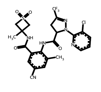 Cc1cc(C#N)cc(C(=O)NC2(C)CS(=O)(=O)C2)c1NC(=O)C1CC(C(F)(F)F)=NN1c1ncccc1Cl